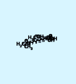 C=C(C)C(=O)OCCCCCCCCCCOP(=O)(O)O.CCO